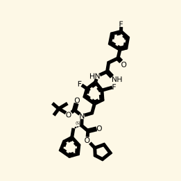 CC(C)(C)OC(=O)N(Cc1cc(F)c(NC(=N)CC(=O)c2ccc(F)cc2)c(F)c1)[C@@H](Cc1ccccc1)C(=O)OC1CCCC1